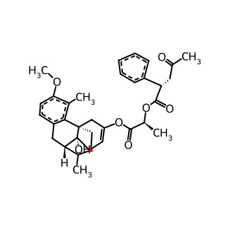 COc1ccc2c(c1C)[C@]13CCC(C)[C@H](C2)[C@]1(O)CC=C(OC(=O)[C@H](C)OC(=O)[C@@H](CC(C)=O)c1ccccc1)C3